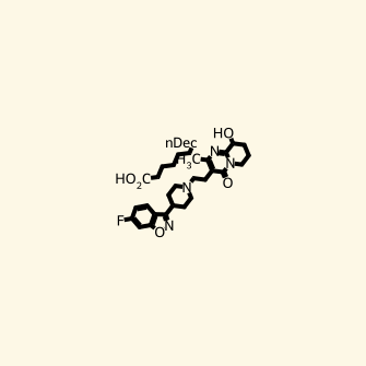 CCCCCCCCCCCCCCCC(=O)O.Cc1nc2n(c(=O)c1CCN1CCC(c3noc4cc(F)ccc34)CC1)CCCC2O